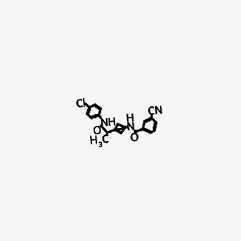 CC(C(=O)Nc1ccc(Cl)cc1)C12CC(NC(=O)c3cccc(C#N)c3)(C1)C2